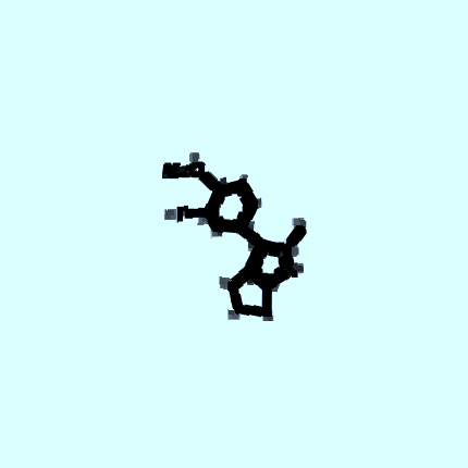 COc1ccc(-c2c3c(nn2C)CCC3)cc1F